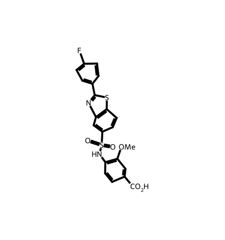 COc1cc(C(=O)O)ccc1NS(=O)(=O)c1ccc2sc(-c3ccc(F)cc3)nc2c1